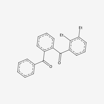 CCc1cccc(C(=O)c2ccccc2C(=O)c2ccccc2)c1CC